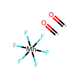 [C]=O.[C]=O.[F][Mn]([F])([F])([F])([F])[F]